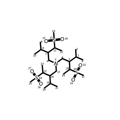 CC(C)C([CH2][Al]([CH2]C(C(C)C)C(C)S(C)(=O)=O)[CH2]C(C(C)C)C(C)S(C)(=O)=O)C(C)S(C)(=O)=O